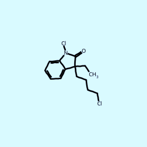 CCC1(CCCCCl)C(=O)N(Cl)c2ccccc21